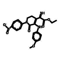 CCOC(=O)C(=N)C1=C(Nc2ccc(OC)cc2)C(=O)N(c2ccc([N+](=O)[O-])cc2)CC1